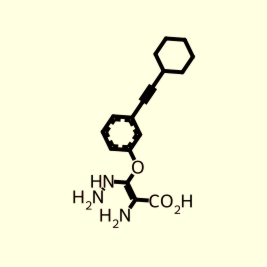 NN/C(Oc1cccc(C#CC2CCCCC2)c1)=C(\N)C(=O)O